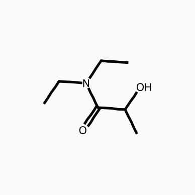 CCN(CC)C(=O)C(C)O